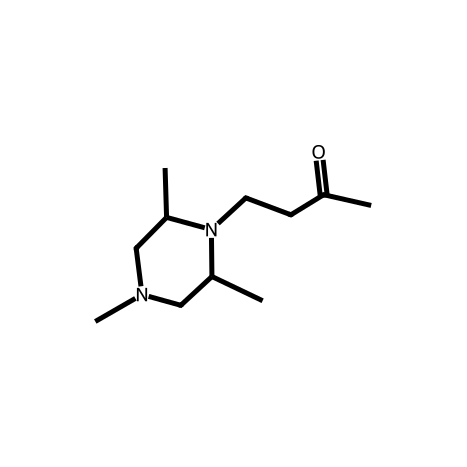 CC(=O)CCN1C(C)CN(C)CC1C